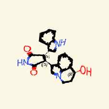 O=C1NC(=O)[C@H](c2cn3c4c(cccc24)[C@H](O)CC3)[C@H]1c1c[nH]c2ccccc12